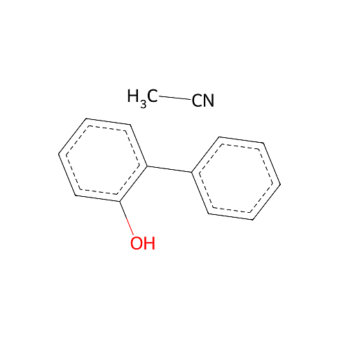 CC#N.Oc1ccccc1-c1ccccc1